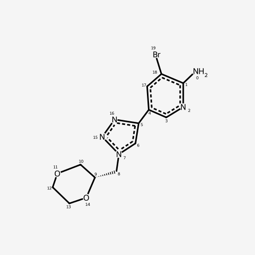 Nc1ncc(-c2cn(C[C@H]3COCCO3)nn2)cc1Br